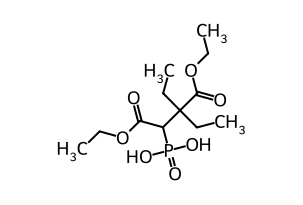 CCOC(=O)C(C(CC)(CC)C(=O)OCC)P(=O)(O)O